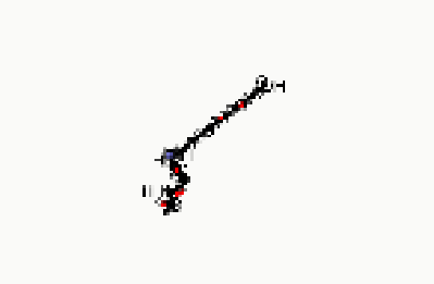 CCCN(CCC)C(=O)C1=Cc2ccc(-c3cccc(S(=O)(=O)N4CCC(N/C(=N/C)NCCOCCOCCOCCOCCOCCOCCOCCOCCOCCOCCC(=O)O)CC4)c3)cc2N=C(N)C1